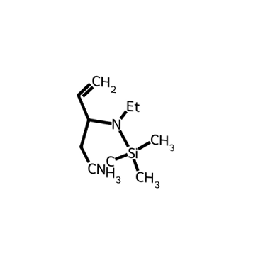 C=CC(CC#N)N(CC)[Si](C)(C)C